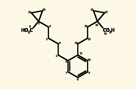 O=C(O)C1(CCCCc2ccccc2CCCC2(C(=O)O)CC2)CC1